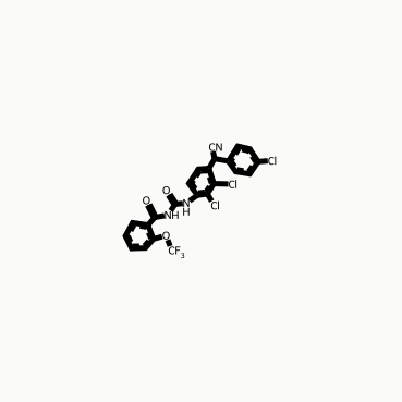 N#CC(c1ccc(Cl)cc1)c1ccc(NC(=O)NC(=O)c2ccccc2OC(F)(F)F)c(Cl)c1Cl